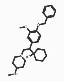 CNC1CCN(CC(c2ccc(OCc3ccccc3)c(OC)c2)C2(O)CCCCC2)CC1